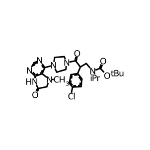 CC(C)N(CC(C(=O)N1CCN(c2ncnc3c2N(C)CC(=O)N3)CC1)c1ccc(Cl)cc1)C(=O)OC(C)(C)C